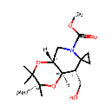 CO[C@@]1(C)O[C@@H]2[C@@H](CO)C3(CC3)N(C(=O)OC(C)(C)C)C[C@H]2OC1(C)C